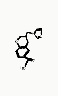 O=C(O)c1ccc2c(c1)CC(Cn1ccnc1)CO2